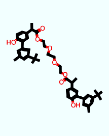 Cc1cc(-c2cc(C(C)C(=O)OCCOCCOCCOC(=O)C(C)c3ccc(O)c(-c4cc(C)cc(C(C)(C)C)c4)c3)ccc2O)cc(C(C)(C)C)c1